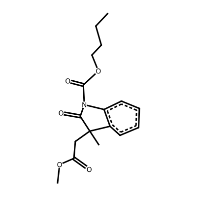 CCCCOC(=O)N1C(=O)C(C)(CC(=O)OC)c2ccccc21